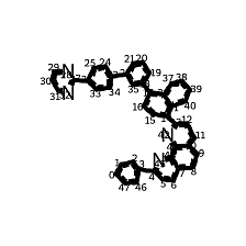 c1ccc(-c2ccc3ccc4ccc(-c5ccc(-c6cccc(-c7ccc(-c8ncccn8)cc7)c6)c6ccccc56)nc4c3n2)cc1